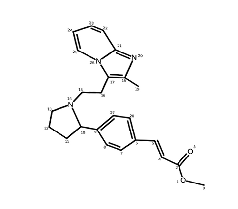 COC(=O)C=Cc1ccc(C2CCCN2CCc2c(C)nc3ccccn23)cc1